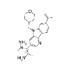 C=C(C)c1ccc2c3ncc(/C(=C(\C)N)N(C)N)cc3n(CC3CCOCC3)c2c1